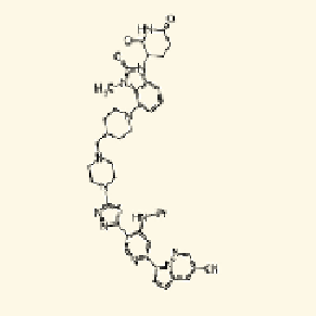 CC(C)Nc1cc(-c2ccc3cc(C#N)cnn23)ncc1-c1nnc(N2CCN(CC3CCN(c4cccc5c4n(C)c(=O)n5C4CCC(=O)NC4=O)CC3)CC2)s1